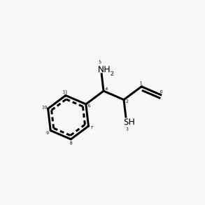 C=CC(S)C(N)c1ccccc1